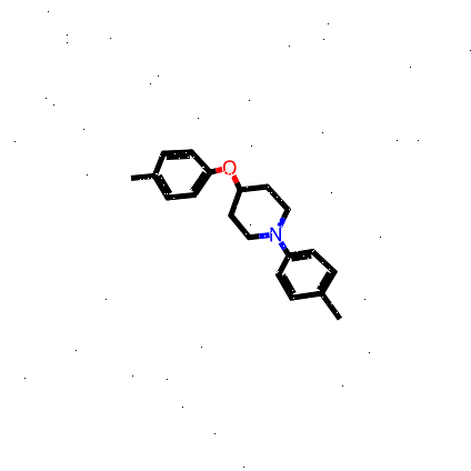 Cc1ccc(OC2CCN(c3ccc(C)cc3)CC2)cc1